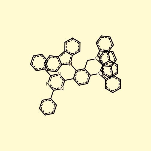 c1ccc(-c2nc(-c3ccccc3)nc(-c3ccc(-n4c5ccccc5c5ccccc54)c(Cn4c5ccccc5c5ccccc54)c3-n3c4ccccc4c4ccccc43)n2)cc1